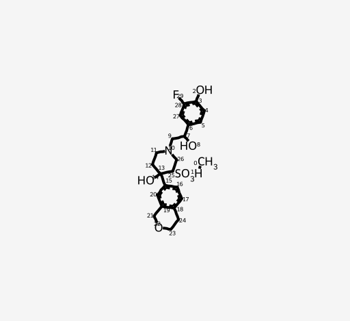 CS(=O)(=O)O.Oc1ccc(C(O)CN2CCC(O)(c3ccc4c(c3)COCC4)CC2)cc1F